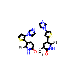 CCc1[nH]c(=O)c(C)cc1-c1cc(-n2ccnc2)cs1.CCc1[nH]c(=O)ccc1-c1sccc1-n1ccnc1